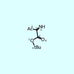 CC(=O)C(=N)C(=O)OC(C)(C)C